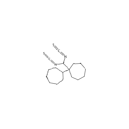 S=C=NC(N=C=S)C1(C2CCCCCC2)CCCCCC1